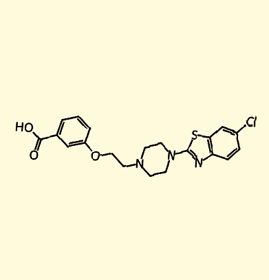 O=C(O)c1cccc(OCCN2CCN(c3nc4ccc(Cl)cc4s3)CC2)c1